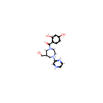 O=C(c1ccc(O)cc1O)N1CCN(c2cnccn2)CC(CO)C1